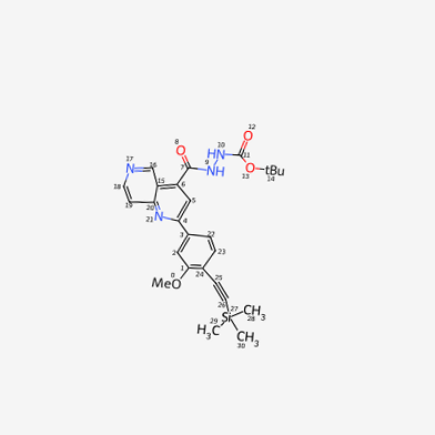 COc1cc(-c2cc(C(=O)NNC(=O)OC(C)(C)C)c3cnccc3n2)ccc1C#C[Si](C)(C)C